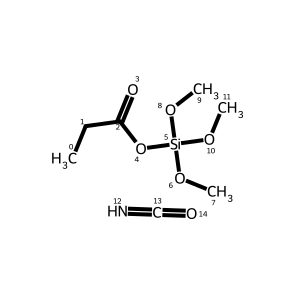 CCC(=O)O[Si](OC)(OC)OC.N=C=O